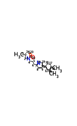 CCCN(CCCc1ccc(C2=CC(C)=C(C)CC2)cn1)P1(=O)CC1